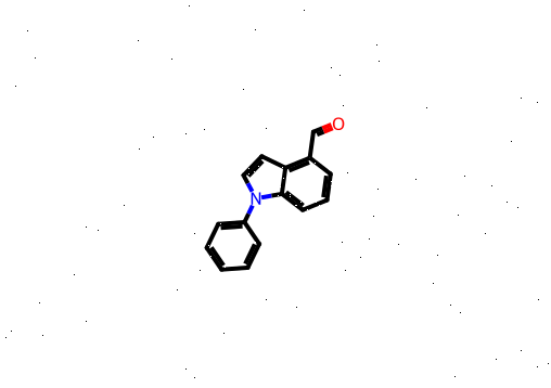 O=Cc1cccc2c1ccn2-c1ccccc1